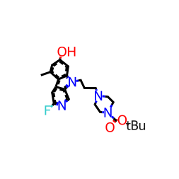 Cc1cc(O)cc2c1c1cc(F)ncc1n2CCCN1CCN(C(=O)OC(C)(C)C)CC1